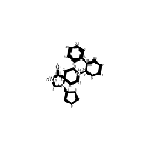 O=C1NCN(C2CCCC2)C12CCN([C@@H]1CCCC[C@@H]1c1ccccc1)CC2